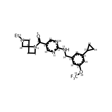 CCN1CC2(CCN2C(=O)c2cnc(NCc3cc(OC(F)(F)F)cc(C4CC4)c3)nc2)C1